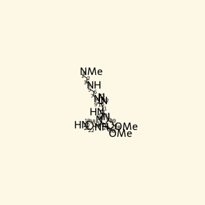 CNCCCNCCCn1cc(CNc2nc(NC3CCNCC3)c3cc(OC)c(OC)cc3n2)nn1